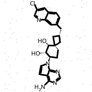 Nc1ncnc2c1ccn2[C@@H]1CC[C@]2(C[C@@H](Cc3ccc4cc(Cl)cnc4c3)C2)[C@@H](O)[C@H]1O